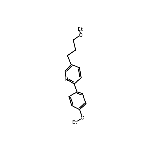 CCOCCCc1ccc(-c2ccc(OCC)cc2)nc1